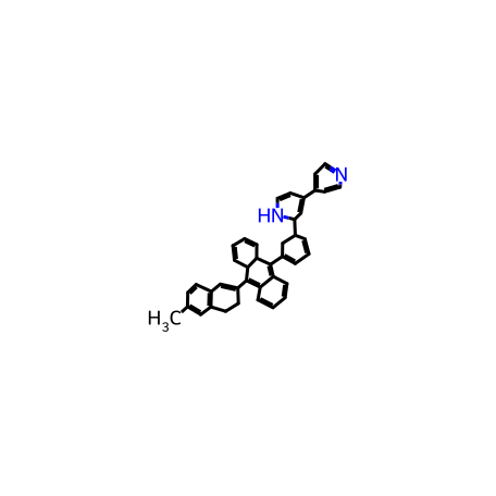 Cc1ccc2c(c1)CCC(C1=c3ccccc3=C(C3=CC=CC(C4C=C(c5ccncc5)C=CN4)C3)C3C=CC=CC13)=C2